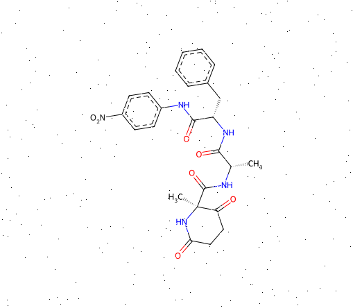 C[C@H](NC(=O)[C@]1(C)NC(=O)CCC1=O)C(=O)N[C@@H](Cc1ccccc1)C(=O)Nc1ccc([N+](=O)[O-])cc1